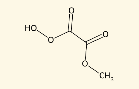 COC(=O)C(=O)OO